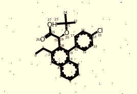 CCc1cc2ccccc2c(-c2ccc(Cl)cc2)c1[C@H](OC(C)(C)C)C(=O)O